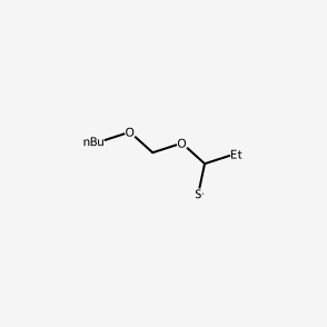 CCCCOCOC([S])CC